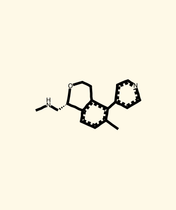 CNC[C@@H]1OCCc2c1ccc(C)c2-c1ccncc1